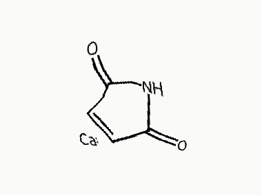 O=C1C=CC(=O)N1.[Ca]